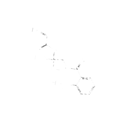 C=CC(=O)OC(C)(O)COC(=O)c1ccccc1C(=O)O